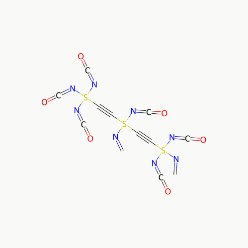 C=NS(C#CS(N=C)(N=C=O)N=C=O)(C#CS(N=C=O)(N=C=O)N=C=O)N=C=O